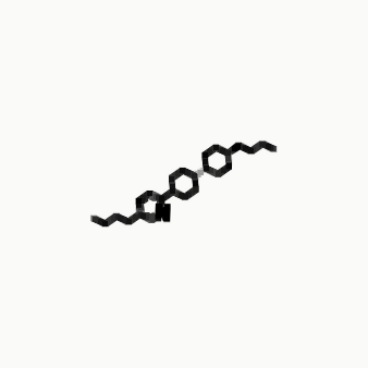 CCCCc1ccc(C2CCC([C@H]3CC[C@H](CCCC)CC3)CC2)nc1